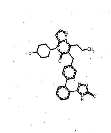 CCCc1c(Cc2ccc(-c3ccccc3-c3noc(=O)[nH]3)cc2)c(=O)n(C2CCC(O)CC2)c2ccnn12